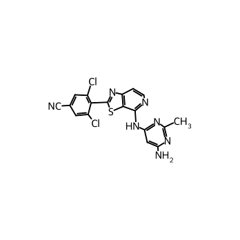 Cc1nc(N)cc(Nc2nccc3nc(-c4c(Cl)cc(C#N)cc4Cl)sc23)n1